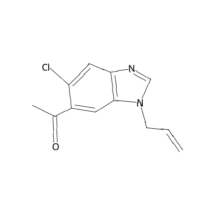 C=CCn1cnc2cc(Cl)c(C(C)=O)cc21